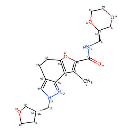 Cc1c(C(=O)NC[C@@H]2COCCO2)oc2c1-c1nn(C[C@@H]3CCOC3)cc1CC2